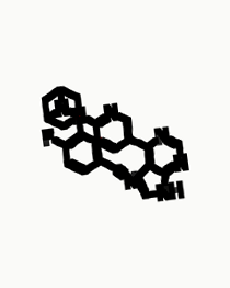 N#Cc1ccc(F)c(CN2C3CC2CN(c2ccc(-c4ncnc5[nH]ccc45)cn2)C3)c1